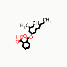 CCCCCCC(CC(C)CC)OC(=O)C1CC=CCC1C(=O)O